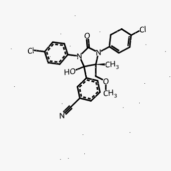 COC[C@@]1(C)N(C2=CC=C(Cl)CC2)C(=O)N(c2ccc(Cl)cc2)C1(O)c1cccc(C#N)c1